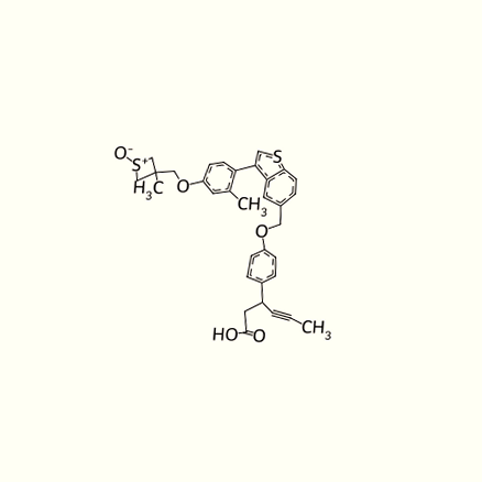 CC#CC(CC(=O)O)c1ccc(OCc2ccc3scc(-c4ccc(OCC5(C)C[S+]([O-])C5)cc4C)c3c2)cc1